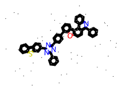 c1ccc(-c2nc(-c3ccc(-c4cccc5c4oc4ccc6c(-c7ccccc7)nc7ccccc7c6c45)cc3)nc(-c3ccc4c(c3)sc3ccccc34)n2)cc1